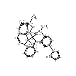 COc1ncc(-c2cccs2)cc1C(c1ccccc1)C(O)(CCN(C)C)[C@]1(C)CC=Cc2ccccc21